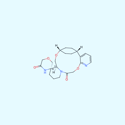 O=C1COC[C@]2(CCCN3C(=O)COc4ncccc4[C@H]4CC[C@H](CC4)OC[C@@H]32)N1